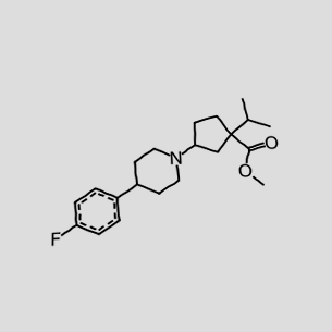 COC(=O)C1(C(C)C)CCC(N2CCC(c3ccc(F)cc3)CC2)C1